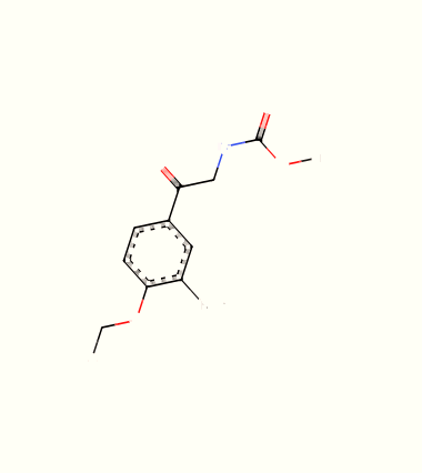 CCOC(=O)COc1ccc(C(=O)CNC(=O)OC(C)(C)C)cc1NC(C)=O